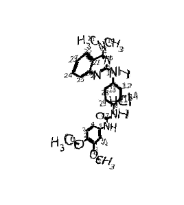 COc1ccc(NC(=O)NC2CCC(Nc3nc(N(C)C)c4ccccc4n3)CC2)cc1OC.Cl